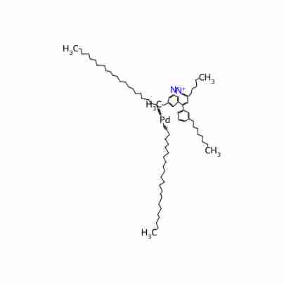 CCCCCCCCCCCCCCCCCCCCCCC#[C][Pd][C]#CCCCCCCCCCCCCCCCCCCCCCC.CCCCCCCCc1cccc(C(=CC(=C=[N+]=[N-])CCCCC)c2cccc(CC)c2)c1